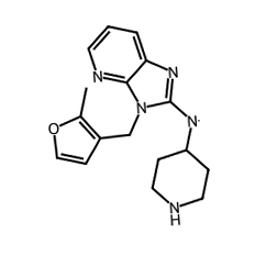 Cc1occc1Cn1c([N]C2CCNCC2)nc2cccnc21